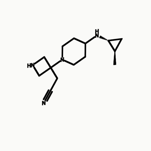 C[C@@H]1C[C@H]1NC1CCN(C2(CC#N)CNC2)CC1